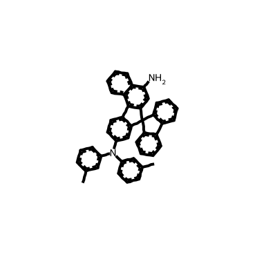 Cc1cccc(N(c2cccc(C)c2)c2ccc3c(c2)C2(c4ccccc4-c4ccccc42)c2cc(N)c4ccccc4c2-3)c1